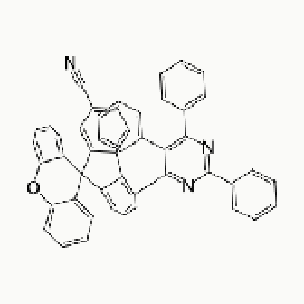 N#Cc1ccc2c(c1)C1(c3ccccc3Oc3ccccc31)c1cccc(-c3nc(-c4ccccc4)nc(-c4ccccc4)c3-c3ccccc3)c1-2